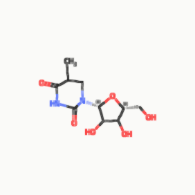 CC1CN([C@@H]2O[C@H](CO)C(O)C2O)C(=O)NC1=O